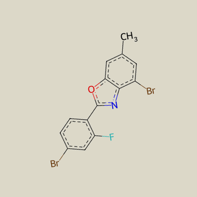 Cc1cc(Br)c2nc(-c3ccc(Br)cc3F)oc2c1